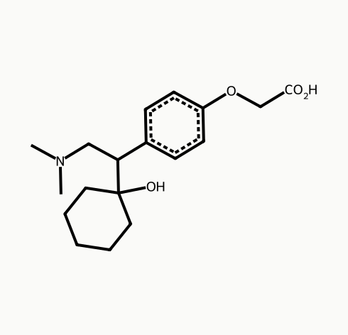 CN(C)CC(c1ccc(OCC(=O)O)cc1)C1(O)CCCCC1